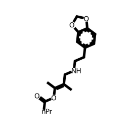 CCCC(=O)O/C(C)=C(\C)CNCCc1ccc2c(c1)OCO2